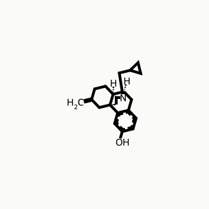 C=C1CC[C@H]2[C@H]3Cc4ccc(O)cc4[C@@]2(CCN3CC2CC2)C1